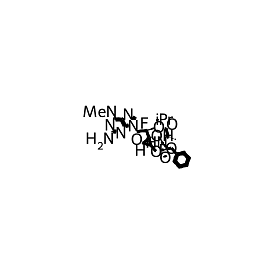 CNc1nc(N)nc2c1ncn2[C@@H]1O[C@@H]2C(OP(=O)(N[C@@H](C)C(=O)OC(C)C)Oc3ccccc3)[C@]2(O)[C@@]1(C)F